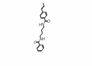 C/C=C/c1ccc(C(=O)NCCCCNC(=O)c2ccccc2)cc1